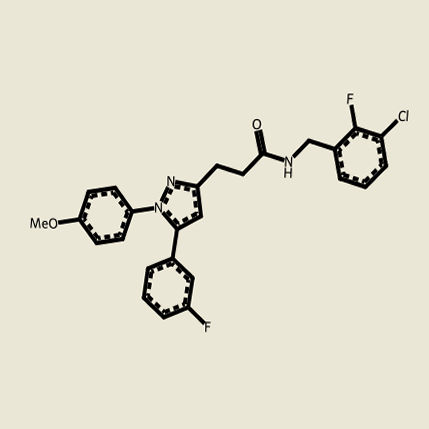 COc1ccc(-n2nc(CCC(=O)NCc3cccc(Cl)c3F)cc2-c2cccc(F)c2)cc1